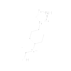 O=C(O)NC1CCC([n+]2cn[nH]n2)CC1